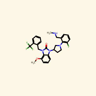 CNCc1cccc(F)c1N1CCC(n2c(=O)n(Cc3ccccc3C(F)(F)F)c3c(OC)cccc32)C1